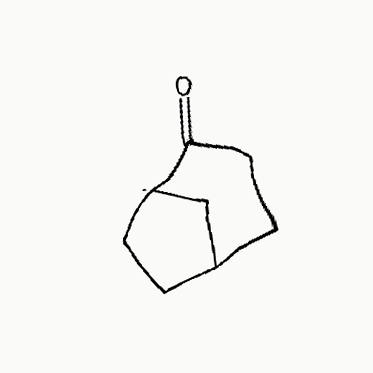 O=C1CCC2CC[C]1C2